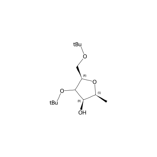 C[C@@H]1O[C@H](COC(C)(C)C)C(OC(C)(C)C)[C@@H]1O